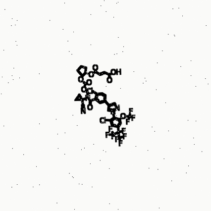 N#CC1(N(COC(=O)O[C@H]2CCC[C@@H]2OC(=O)/C=C/C(=O)O)C(=O)c2cc(-c3cnn(-c4c(Cl)cc(C(F)(C(F)(F)F)C(F)(F)F)cc4OC(F)(F)F)c3)ccc2Cl)CC1